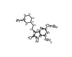 CCCCOc1nc(N)c2[nH]c(=O)n(CCC3CCCN(C(C)C)C3)c2n1